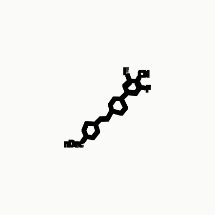 CCCCCCCCCCC1CCC(C=CC2CCC(c3cc(F)c(C#N)c(F)c3)CC2)CC1